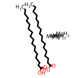 CCCCCCCCCCCCCCCCCC(=O)O.CCCCCCCCCCCCCCCCCC(=O)O.[MgH2].[MgH2].[MgH2].[MgH2]